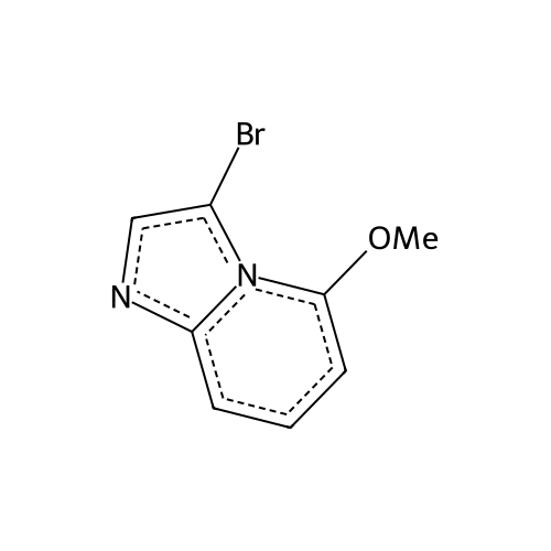 COc1cccc2ncc(Br)n12